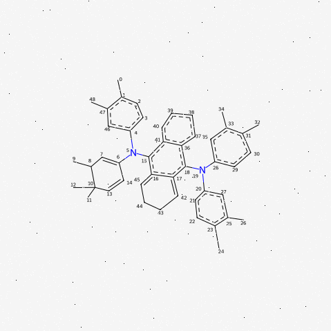 Cc1ccc(N(C2=CC(C)C(C)(C)C=C2)c2c3c(c(N(c4ccc(C)c(C)c4)c4ccc(C)c(C)c4)c4ccccc24)=CCCC=3)cc1C